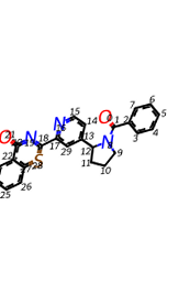 O=C(c1ccccc1)N1CCCC1c1ccnc(-c2nc(=O)c3ccccc3s2)c1